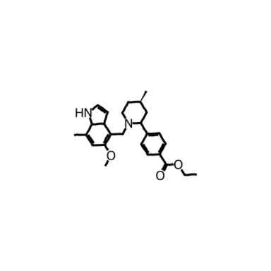 CCOC(=O)c1ccc(C2C[C@H](C)CCN2CC2=C(OC)C=C(C)C3NC=CC23)cc1